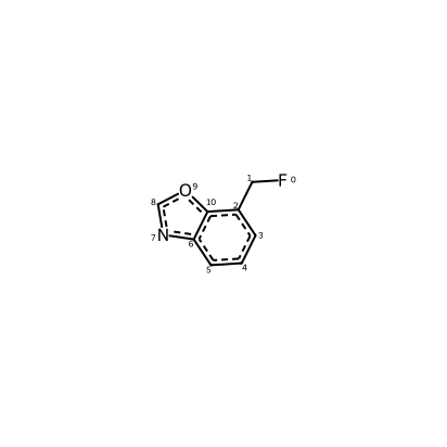 FCc1cccc2ncoc12